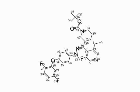 CCc1cncc(F)c1/C(=N\N(C)c1ccc(Oc2cc(F)ccc2F)cc1)C1CCCN(C(=O)OC(C)(C)C)C1